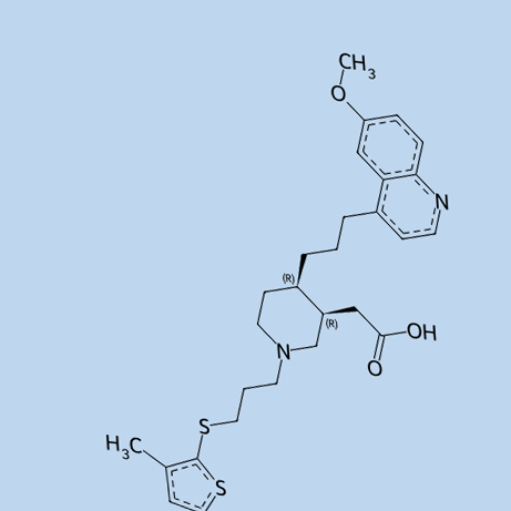 COc1ccc2nccc(CCC[C@@H]3CCN(CCCSc4sccc4C)C[C@@H]3CC(=O)O)c2c1